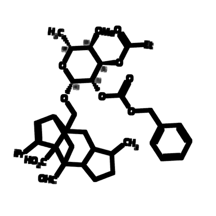 CCC(=O)O[C@H]1[C@H](OC(=O)OCc2ccccc2)[C@H](OCC23CC4C(C)CCC4C4(C=O)CC2C=C(C(C)C)C43C(=O)O)O[C@H](C)[C@H]1OC